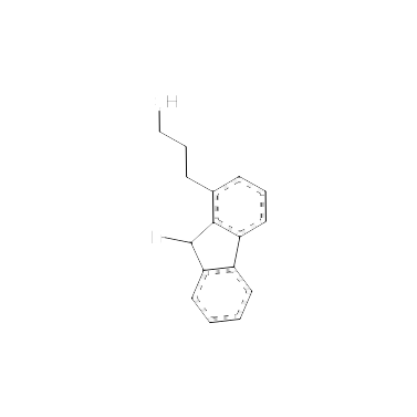 [Li][CH]1c2ccccc2-c2cccc(CCCC)c21